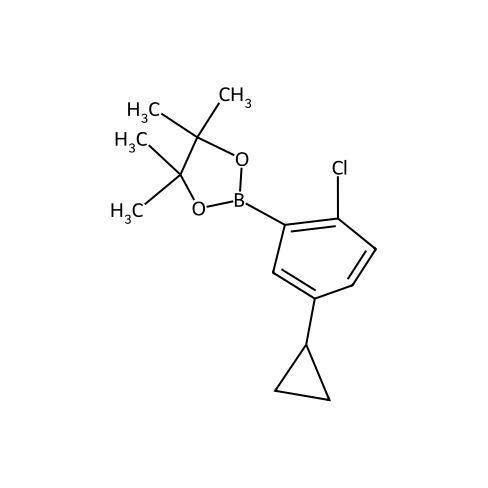 CC1(C)OB(c2cc(C3CC3)ccc2Cl)OC1(C)C